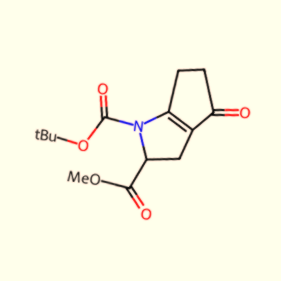 COC(=O)C1CC2=C(CCC2=O)N1C(=O)OC(C)(C)C